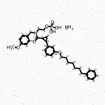 COc1ccc(CN(CCOP(=O)(O)O)C(=O)C2CC2c2cccc(OCCCCCCCc3ccccc3)c2)cc1.N